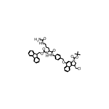 CC(C)(C)OC(=O)N1C[C@@H](CCl)c2c1cc(OCc1ccc(NC(=O)C(CCCNC(N)=O)NC(=O)OCC3c4ccccc4-c4ccccc43)cc1)c1ccccc21